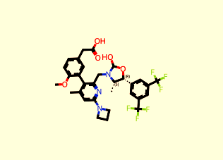 COc1ccc(CC(=O)O)cc1-c1c(C)cc(N2CCC2)nc1CN1C(O)O[C@H](c2cc(C(F)(F)F)cc(C(F)(F)F)c2)[C@@H]1C